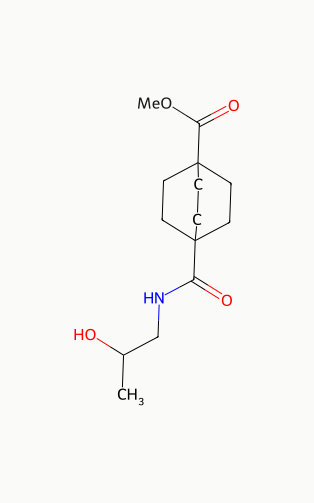 COC(=O)C12CCC(C(=O)NCC(C)O)(CC1)CC2